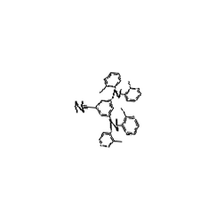 Cc1ccccc1N(c1cc(C#N)cc(N(c2ccccc2C)c2ccccc2C)c1)c1ccccc1C